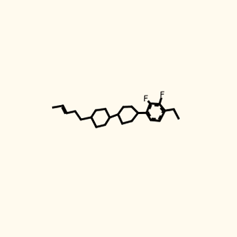 C/C=C/CCC1CCC(C2CCC(c3ccc(CC)c(F)c3F)CC2)CC1